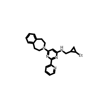 CCC1CC1CNc1cc(N2CCc3ccccc3CC2)nc(-c2ccccn2)n1